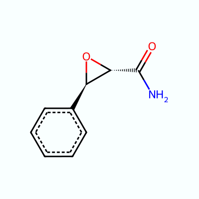 NC(=O)[C@H]1O[C@@H]1c1ccccc1